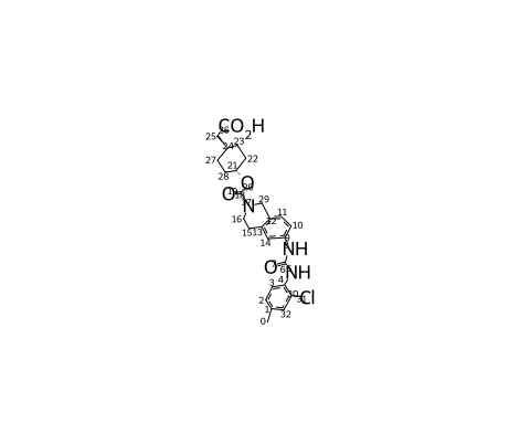 Cc1ccc(NC(=O)Nc2ccc3c(c2)CCN(C(=O)O[C@H]2CC[C@H](CC(=O)O)CC2)C3)c(Cl)c1